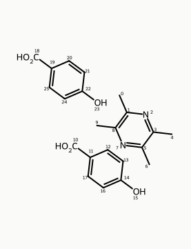 Cc1nc(C)c(C)nc1C.O=C(O)c1ccc(O)cc1.O=C(O)c1ccc(O)cc1